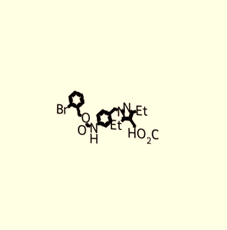 CCc1nn(Cc2ccc(NC(=O)OCc3ccccc3Br)cc2)c(CC)c1CC(=O)O